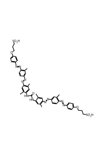 Cc1cc(N=Nc2cc(C)c(NC(=O)Nc3cc(C)c(N=Nc4ccc(N=Nc5ccc(OCCCS(=O)(=O)O)cc5)c(C)c4)cc3C)cc2C)ccc1N=Nc1ccc(OCCCS(=O)(=O)O)cc1